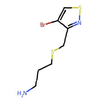 NCCCSCc1nscc1Br